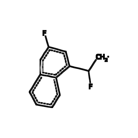 [CH2]C(F)c1cc(F)cc2ccccc12